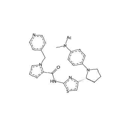 CC(=O)N(C)c1ccc(N2CCC[C@@H]2c2csc(NC(=O)c3cccn3Cc3ccncc3)n2)cc1